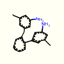 Cc1cc(N)cc(-c2ccccc2-c2cc(C)cc(N)c2)c1